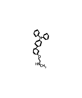 CNCCOc1[c]ccc(-c2ccc(N(c3ccccc3)c3ccccc3)cc2)c1